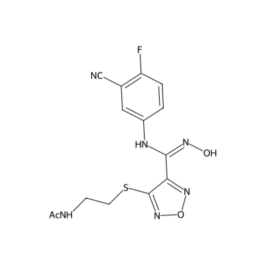 CC(=O)NCCSc1nonc1/C(=N\O)Nc1ccc(F)c(C#N)c1